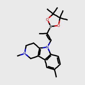 C/C(=C\n1c2c(c3cc(C)ccc31)CN(C)CC2)B1OC(C)(C)C(C)(C)O1